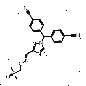 CP(C)(=O)CO/N=C/c1ncn(C(c2ccc(C#N)cc2)c2ccc(C#N)cc2)n1